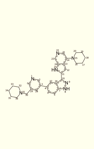 c1ncc(-c2ccc3[nH]nc(-c4cc5c(N6CCCCC6)cncc5[nH]4)c3c2)cc1CN1CCCCC1